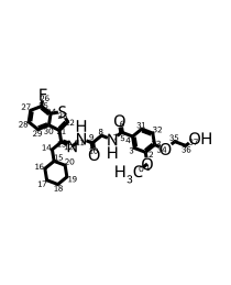 COc1cc(C(=O)NCC(=O)N/N=C(/CC2CCCCC2)c2csc3c(F)cccc23)ccc1OCCO